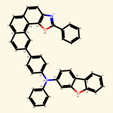 c1ccc(-c2nc3ccc4ccc5ccc(-c6ccc(N(c7ccccc7)c7ccc8c(c7)oc7ccccc78)cc6)cc5c4c3o2)cc1